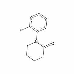 O=C1CCCCN1c1ccccc1F